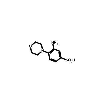 Nc1cc(S(=O)(=O)O)ccc1N1CCOCC1